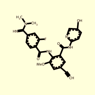 C#Cc1cc(OC)c(NC(=O)c2ccc(C(=N)N(C)C)cc2F)c(C(=O)Nc2ccc(O)cn2)c1